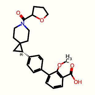 COc1c(C(=O)O)cccc1-c1ccc([C@@H]2CC23CCN(C(=O)C2CCCO2)CC3)cc1